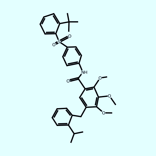 COc1c(Cc2ccccc2C(C)C)cc(C(=O)Nc2ccc(S(=O)(=O)c3ccccc3C(C)(C)C)cc2)c(OC)c1OC